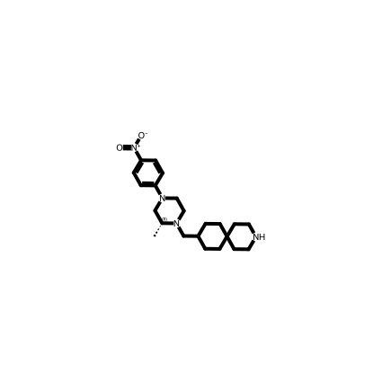 C[C@@H]1CN(c2ccc([N+](=O)[O-])cc2)CCN1CC1CCC2(CCNCC2)CC1